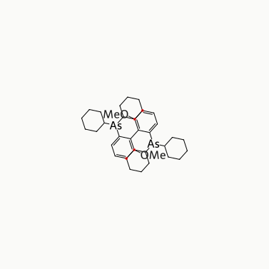 COc1cccc([As](C2CCCCC2)C2CCCCC2)c1-c1c(OC)cccc1[As](C1CCCCC1)C1CCCCC1